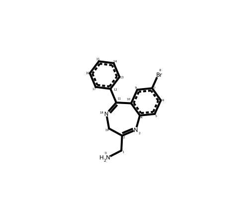 NCC1=Nc2ccc(Br)cc2C(c2ccccc2)=NC1